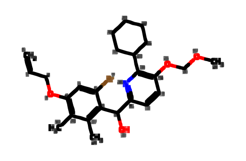 C=CCOc1cc(Br)c(C(O)c2ccc(OCOC)c(C3CCCCC3)n2)c(C)c1C